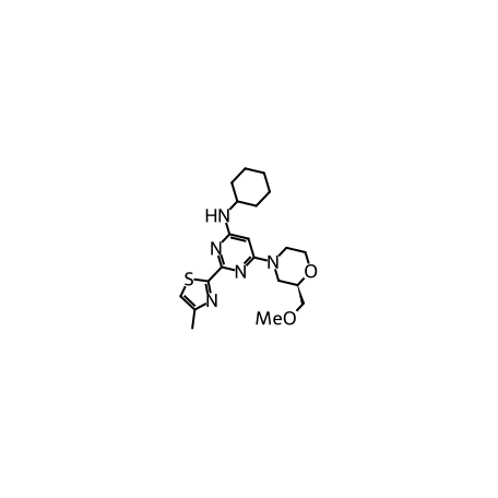 COC[C@H]1CN(c2cc(NC3CCCCC3)nc(-c3nc(C)cs3)n2)CCO1